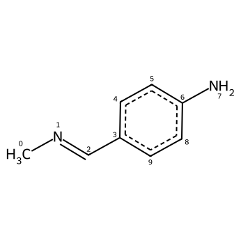 CN=Cc1ccc(N)cc1